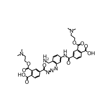 CN(C)CCOC(=O)c1cc(C(=O)N=[N+]=Nc2cc(NC(=O)c3ccc(C(=O)O)c(C(=O)OCCN(C)C)c3)ccc2CN)ccc1C(=O)O